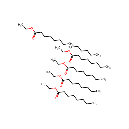 CCCCCC.CCCCCCCC(=O)OCC.CCCCCCCC(=O)OCC.CCCCCCCC(=O)OCC.CCCCCCCC(=O)OCC.CCCCCCCC(=O)OCC